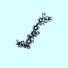 CC(C)(C)OC(=O)N[C@H]1CC[C@H](NCc2ccc(-n3ccc(NC(=O)N4CCN(C(=O)C(C)(C)NC(=O)OC(C)(C)C)CC4)nc3=O)cc2)C1